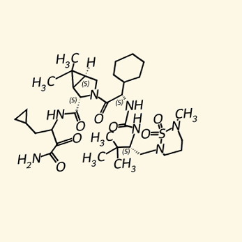 CN1CCCN(C[C@@H](NC(=O)N[C@H](C(=O)N2C[C@H]3C([C@H]2C(=O)NC(CC2CC2)C(=O)C(N)=O)C3(C)C)C2CCCCC2)C(C)(C)C)S1(=O)=O